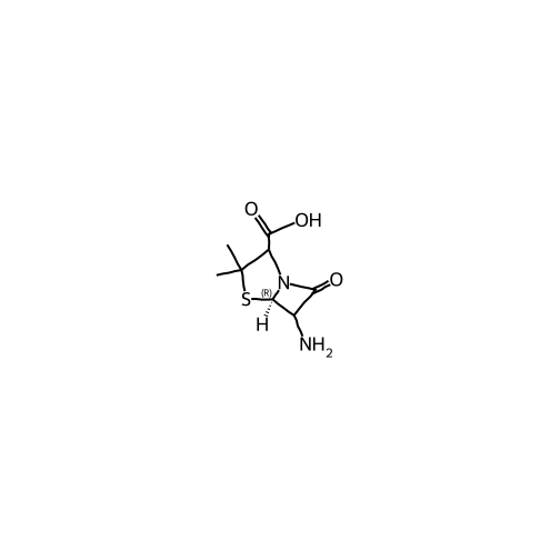 CC1(C)S[C@@H]2C(N)C(=O)N2C1C(=O)O